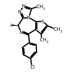 Cc1sc2c(c1C)C(c1ccc(Cl)cc1)=N[C@@H](I)c1nnc(C)n1-2